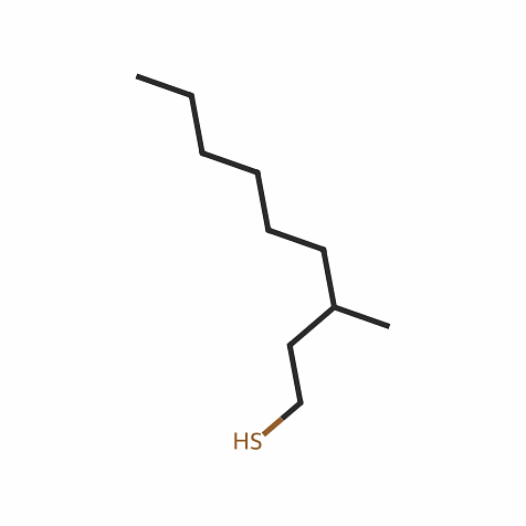 CCCCCCC(C)CCS